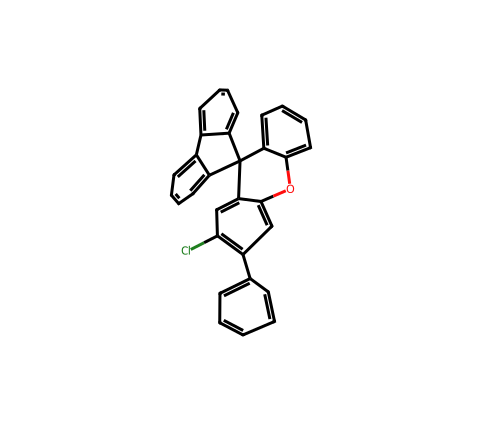 Clc1cc2c(cc1-c1ccccc1)Oc1ccccc1C21c2ccccc2-c2ccccc21